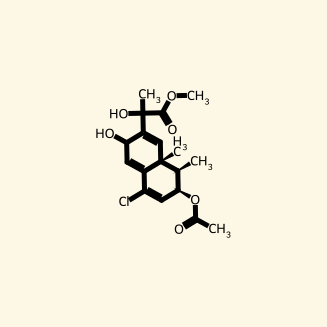 COC(=O)C(C)(O)C1=C[C@@]2(C)C(=CC1O)C(Cl)=C[C@H](OC(C)=O)[C@@H]2C